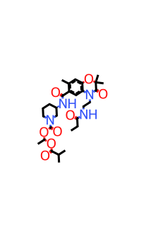 CCC(=O)NCCN1C(=O)C(C)(C)Oc2cc(C)c(C(=O)N[C@@H]3CCCN(C(=O)OC(C)OC(=O)C(C)C)C3)cc21